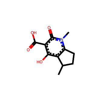 CC1CCc2c1c(O)c(C(=O)O)c(=O)n2C